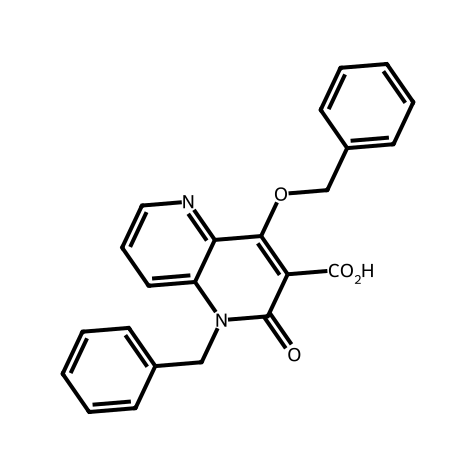 O=C(O)c1c(OCc2ccccc2)c2ncccc2n(Cc2ccccc2)c1=O